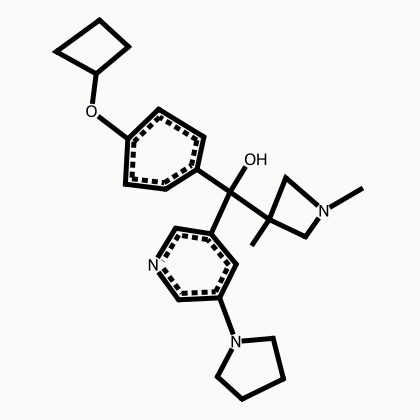 CN1CC(C)(C(O)(c2ccc(OC3CCC3)cc2)c2cncc(N3CCCC3)c2)C1